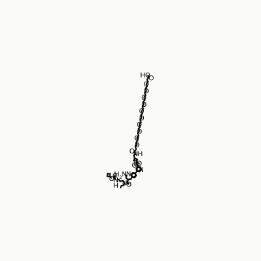 CCCN(CCCNC(=O)OC1CCC1)C(=O)C1=Cc2ccc(-c3cncc(S(=O)(=O)N4CC(CNC(=O)CCOCCOCCOCCOCCOCCOCCOCCOCCOCCOCCC(=O)O)C4)c3)cc2N=C(N)C1